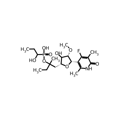 CCC(O)P(=O)(O)OC(C)(CC)C[C@H]1O[C@@H](c2c(C)[nH]c(=O)c(C)c2F)[C@@H](OC)C1O